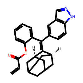 C=CC(=O)Oc1ccccc1C(c1ccc2[nH]ncc2c1)=C1[C@H]2CC3CC(C2)C[C@@H]1C3